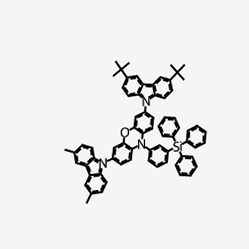 Cc1ccc2c(c1)c1cc(C)ccc1n2-c1ccc2c(c1)Oc1cc(-n3c4ccc(C(C)(C)C)cc4c4cc(C(C)(C)C)ccc43)ccc1N2c1cccc([Si](c2ccccc2)(c2ccccc2)c2ccccc2)c1